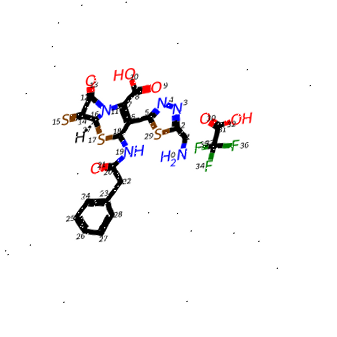 NCc1nnc(C2=C(C(=O)O)N3C(=O)C(=S)[C@@H]3SC2NC(=O)Cc2ccccc2)s1.O=C(O)C(F)(F)F